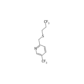 FC(F)(F)CCSCc1ccc(C(F)(F)F)cn1